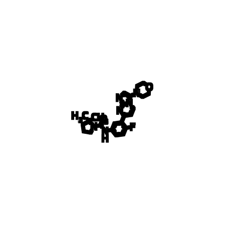 CC1(C)CCCN1C(=O)Nc1ccc(F)c(-c2ccn3c(N4CCOCC4)cnc3n2)c1